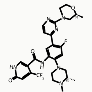 C[C@H]1CN(c2nccc(-c3cc(NC(=O)c4c[nH]c(=O)cc4C(F)(F)F)c(N4CCN(C)[C@@H](C)C4)cc3F)n2)CCO1